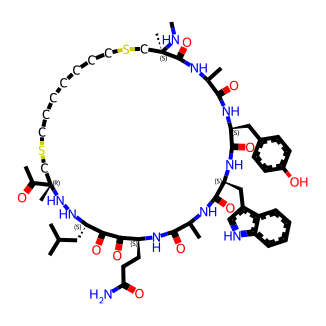 CN[C@]1(C)CSCCCCCCCSC[C@@](C)(C(C)=O)NN[C@@H](CC(C)C)C(=O)C(=O)[C@H](CCC(N)=O)NC(=O)C(C)NC(=O)[C@H](Cc2c[nH]c3ccccc23)NC(=O)[C@H](Cc2ccc(O)cc2)NC(=O)C(C)NC1=O